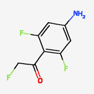 Nc1cc(F)c(C(=O)CF)c(F)c1